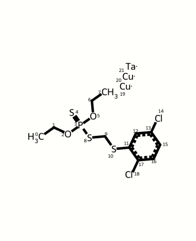 CCOP(=S)(OCC)SCSc1cc(Cl)ccc1Cl.[Cu].[Cu].[Ta]